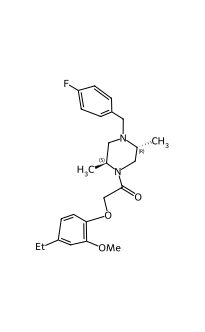 CCc1ccc(OCC(=O)N2C[C@@H](C)N(Cc3ccc(F)cc3)C[C@@H]2C)c(OC)c1